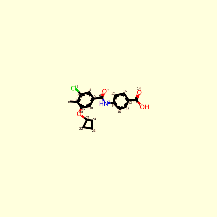 Cc1c(Cl)cc(C(=O)Nc2ccc(C(=O)O)cc2)cc1OC1CCC1